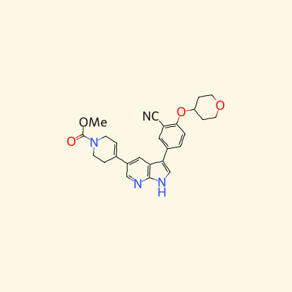 COC(=O)N1CC=C(c2cnc3[nH]cc(-c4ccc(OC5CCOCC5)c(C#N)c4)c3c2)CC1